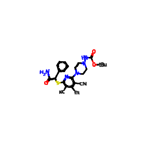 CCc1c(C#N)c(SC(C(N)=O)c2ccccc2)nc(N2CCN(NC(=O)OC(C)(C)C)CC2)c1C#N